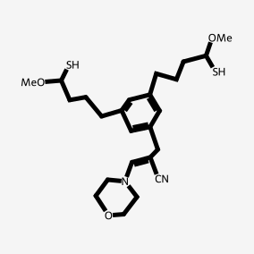 COC(S)CCCc1cc(CCCC(S)OC)cc(CC(C#N)=CN2CCOCC2)c1